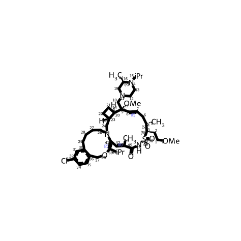 COCC[C@@H]1[C@@H](C)C/C=C/[C@@](CN2CCN(C(C)C)[C@H](C)C2)(OC)[C@@H]2CC[C@H]2CN2CCCCc3cc(Cl)ccc3CO/C(C(C)C)=C2/C=C(\C)C(=O)NS1(=O)=O